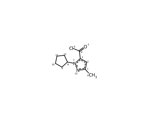 Cc1cc(C(=O)Cl)n(C2CCCC2)n1